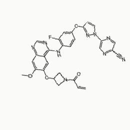 C=CC(=O)N1CC(Oc2cc3c(Nc4ccc(Oc5ccn(-c6cnc(C#N)cn6)n5)cc4F)ncnc3cc2OC)C1